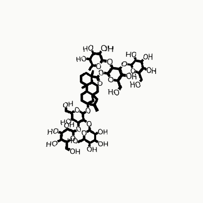 C=C1CC23CCC4C(C)(C(=O)OC5OC(CO)C(O)C(OC6OC(CO)C(O)C(O)C6O)C5OC5OC(C)C(O)C(O)C5O)CCCC4(C)C2CCC1(OC1OC(CO)C(O)C(OC2OC(CO)C(O)C(O)C2O)C1OC1OC(CO)C(O)C(O)C1O)C3